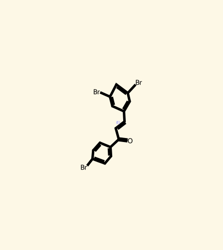 O=C(/C=C/c1cc(Br)cc(Br)c1)c1ccc(Br)cc1